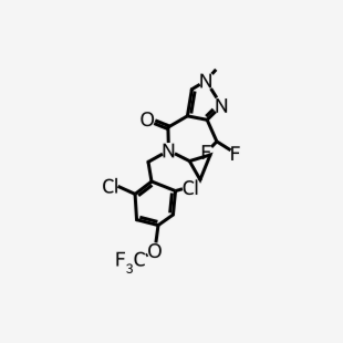 Cn1cc(C(=O)N(Cc2c(Cl)cc(OC(F)(F)F)cc2Cl)C2CC2)c(C(F)F)n1